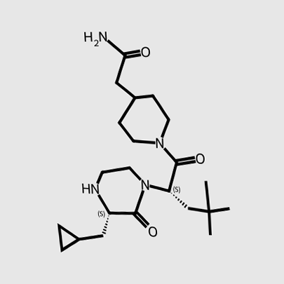 CC(C)(C)C[C@@H](C(=O)N1CCC(CC(N)=O)CC1)N1CCN[C@@H](CC2CC2)C1=O